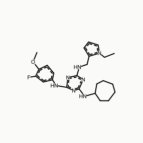 CCn1cccc1CNc1nc(Nc2ccc(OC)c(F)c2)nc(NC2CCCCCC2)n1